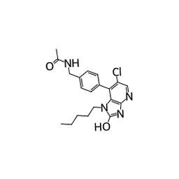 CCCCCn1c(O)nc2ncc(Cl)c(-c3ccc(CNC(C)=O)cc3)c21